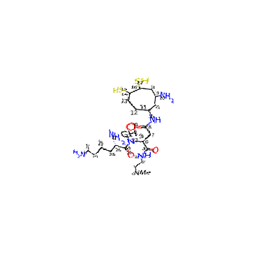 CNCCNC(=O)[C@H](CC(=O)NC1CCC(S)C(S)CC(N)C1)N(C)C(=O)[C@@H](N)CCCCN